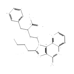 CCCCc1nc2c(N)nc3cccnc3c2n1CCC(Cc1ccccc1)C(N)=O.Cl